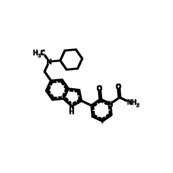 CN(Cc1ccc2[nH]c(-c3c[c]cn(C(N)=O)c3=O)cc2c1)C1CCCCC1